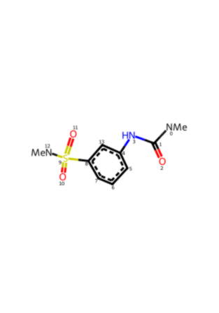 CNC(=O)Nc1cccc(S(=O)(=O)NC)c1